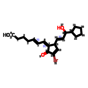 O=C(O)CCC/C=C/C=C1\C(=O)C(Br)=CC1/C=C/C(O)C1CCCC1